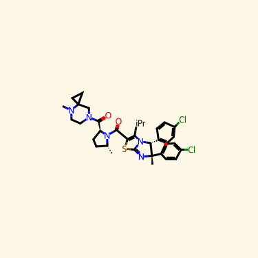 CC(C)C1=C(C(=O)N2[C@H](C)CC[C@H]2C(=O)N2CCN(C)C3(CC3)C2)SC2=N[C@@](C)(c3ccc(Cl)cc3)[C@@H](c3ccc(Cl)cc3)N21